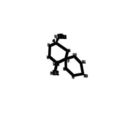 CCN1CC[C@H](C(C)(C)C)CC12CCCCC2